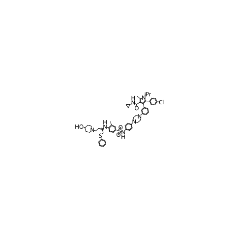 Cc1cc(S(=O)(=O)Nc2ccc(N3CCN(c4cccc(-c5c(C(=O)NC6CC6)c(C)n(C(C)C)c5-c5ccc(Cl)cc5)c4)CC3)cc2)ccc1N[C@H](CCN1CCC(O)CC1)CSc1ccccc1